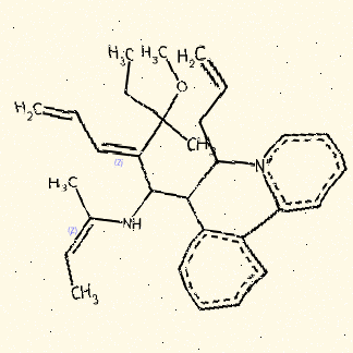 C=C/C=C(/C(N/C(C)=C\C)C1c2ccccc2-c2cccc[n+]2C1CC=C)C(C)(CC)OC